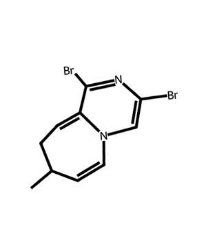 CC1C=CN2C=C(Br)N=C(Br)C2=CC1